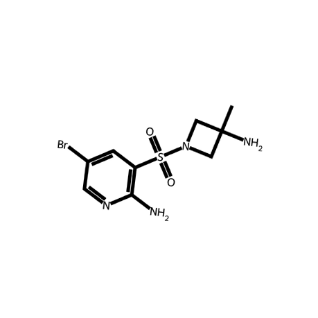 CC1(N)CN(S(=O)(=O)c2cc(Br)cnc2N)C1